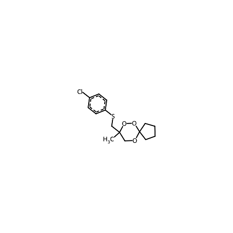 CC1(CSc2ccc(Cl)cc2)COC2(CCCC2)OO1